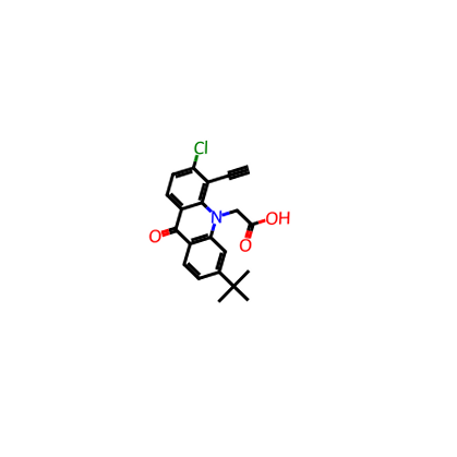 C#Cc1c(Cl)ccc2c(=O)c3ccc(C(C)(C)C)cc3n(CC(=O)O)c12